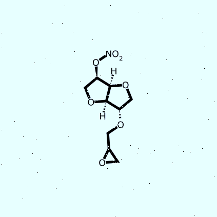 O=[N+]([O-])O[C@@H]1CO[C@H]2[C@@H]1OC[C@@H]2OCC1CO1